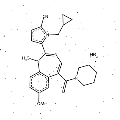 COc1ccc2c(c1)C(C(=O)N1CCC[C@@H](N)C1)=CN=C(c1ccc(C#N)n1CC1CC1)N2C